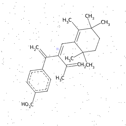 C=C(C)/C(=C\C1=C(C)C(C)(C)CCC1(C)C)C(=C)c1ccc(C(=O)O)cc1